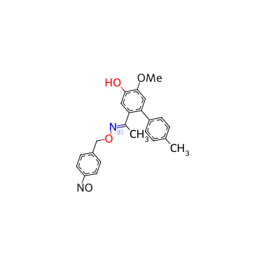 COc1cc(-c2ccc(C)cc2)c(/C(C)=N/OCc2ccc(N=O)cc2)cc1O